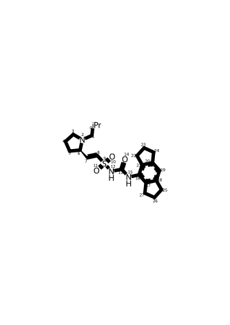 CC(C)CN1CCC[C@@H]1/C=C/S(=O)(=O)NC(=O)Nc1c2c(cc3c1CCC3)CCC2